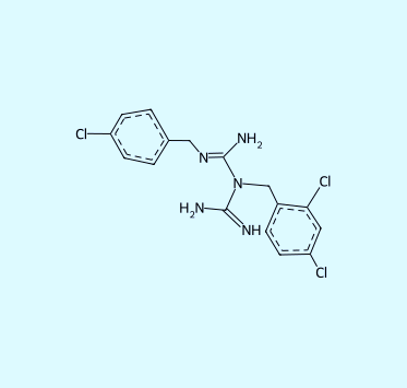 N=C(N)N(Cc1ccc(Cl)cc1Cl)C(N)=NCc1ccc(Cl)cc1